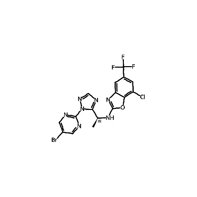 C[C@H](Nc1nc2cc(C(F)(F)F)cc(Cl)c2o1)c1ncnn1-c1ncc(Br)cn1